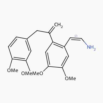 C=C(Cc1ccc(OC)c(OC)c1)c1cc(OC)c(OC)cc1/C=C\N